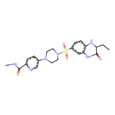 CCC1Nc2ccc(S(=O)(=O)N3CCN(c4ccc(C(=O)NC)nc4)CC3)cc2NC1=O